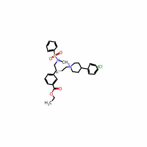 CCOC(=O)c1cccc([C@@H](CCN2CCC(c3ccccc3)CC2)CN(C)S(=O)(=O)c2ccccc2)c1.Cl